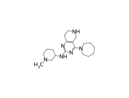 CN1CCCC(Nc2nc3c(c(N4CCCCCC4)n2)CNCC3)C1